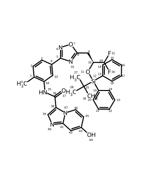 Cc1ccc(-c2noc(C[C@H](O[Si](c3ccccc3)(c3ccccc3)C(C)(C)C)C(F)F)n2)cc1NC(=O)c1cnc2cc(O)ccn12